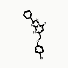 O=c1cc(COc2ccc(Br)cc2)[nH]c2nc(C3=CC=CCC3)nn12